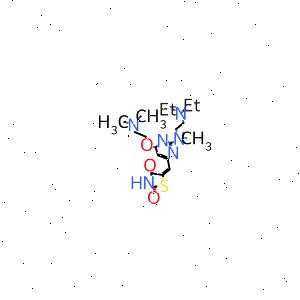 CCN(CC)CCN(C)c1nc(C=C2SC(=O)NC2=O)cc(OCCN(C)C)n1